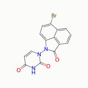 O=C1c2cccc3c(Br)ccc(c23)N1n1ccc(=O)[nH]c1=O